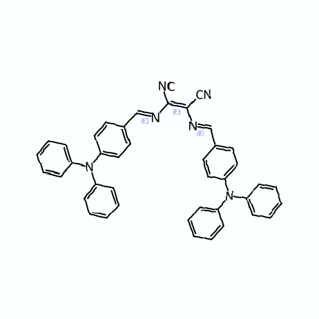 [C-]#[N+]C(/N=C/c1ccc(N(c2ccccc2)c2ccccc2)cc1)=C(C#N)/N=C/c1ccc(N(c2ccccc2)c2ccccc2)cc1